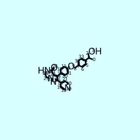 CC(CO)c1ccc(COc2ccc(-c3c(-c4ccncc4)nn4c3C(=O)NCC4)cc2)cc1